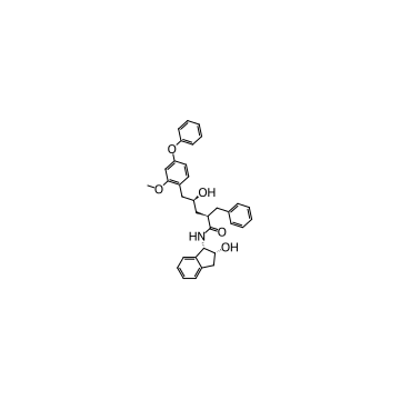 COc1cc(Oc2ccccc2)ccc1C[C@@H](O)C[C@@H](Cc1ccccc1)C(=O)N[C@H]1c2ccccc2C[C@H]1O